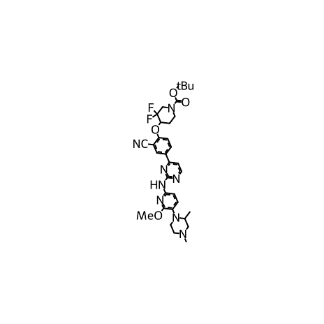 COc1nc(Nc2nccc(-c3ccc(OC4CCN(C(=O)OC(C)(C)C)CC4(F)F)c(C#N)c3)n2)ccc1N1CCN(C)CC1C